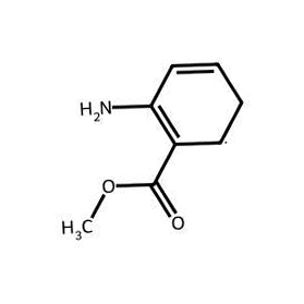 COC(=O)C1=C(N)C=CC[CH]1